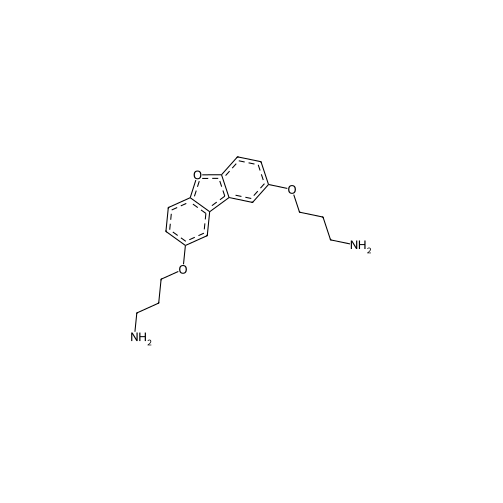 NCCCOc1ccc2oc3ccc(OCCCN)cc3c2c1